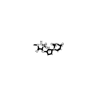 COC(=O)C(OC1CCC(n2ccc(=O)[nH]c2=O)C1)P(=O)(O)O